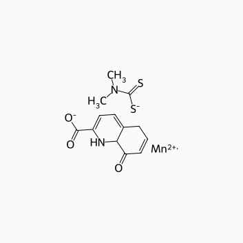 CN(C)C(=S)[S-].O=C([O-])C1=CC=C2CC=CC(=O)C2N1.[Mn+2]